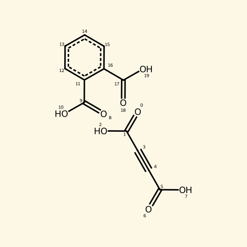 O=C(O)C#CC(=O)O.O=C(O)c1ccccc1C(=O)O